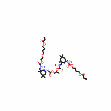 C=CC(=O)OCCCCOCCOC(=O)NCC1(C)CC(NC(=O)OCC(C)OC(=O)NCC2(C)CC(NC(=O)OCCCCOC(=O)C=C)CC(C)(C)C2)CC(C)(C)C1